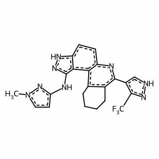 Cn1ccc(Nc2n[nH]c3ccc4nc(-c5c[nH]nc5C(F)(F)F)c5c(c4c23)CCCC5)n1